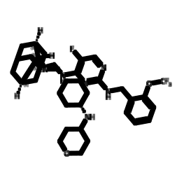 Fc1cnc(NCc2ccccc2OC(F)(F)F)nc1NC[C@]12CC3C[C@H](C1)[C@@H](NC[C@H]1CC[C@@H](NC4CCOCC4)CC1)[C@@H](C3)C2